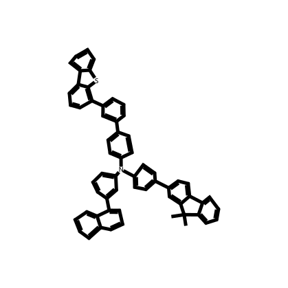 CC1(C)c2ccccc2-c2ccc(-c3ccc(N(c4ccc(-c5cccc(-c6cccc7c6sc6ccccc67)c5)cc4)c4cccc(-c5cccc6ccccc56)c4)cc3)cc21